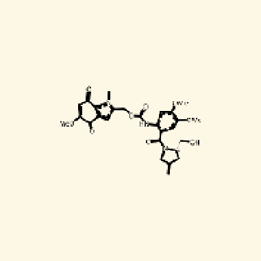 C=C1C[C@@H](CO)N(C(=O)c2cc(OC)c(OC)cc2NC(=O)OCc2cc3c(n2C)C(=O)C=C(OC)C3=O)C1